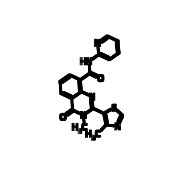 Cc1ncsc1-c1nc2c(C(=O)Nc3ccccn3)cccc2c(=O)n1C